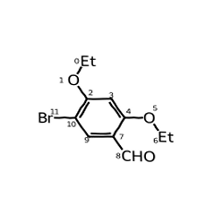 CCOc1cc(OCC)c(C=O)cc1Br